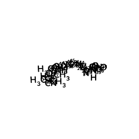 Cc1cc(O[C@H]2C(C)(C)[C@H](NC(=O)c3ccc(N4CCC(CN5CCN(c6cncc(C(=O)NC7CCC(=O)NC7=O)c6)CC5)CC4)cc3)C2(C)C)cc(C)c1C#N